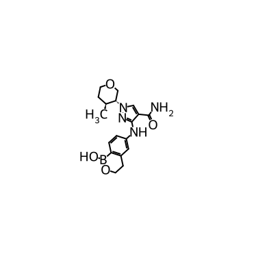 C[C@H]1CCOC[C@@H]1n1cc(C(N)=O)c(Nc2ccc3c(c2)CCOB3O)n1